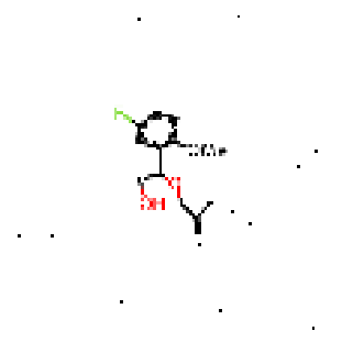 C=C(C)COC(CO)c1cc(F)ccc1OC